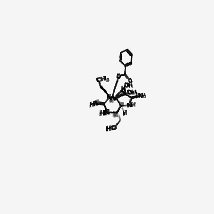 CC[C@@H]1C(OC(=O)c2ccccc2)C(O)(O)C23NC(=N)N[C@H]2[C@H](CO)NC(=N)N13